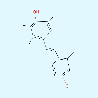 Cc1cc(O)ccc1C=Cc1cc(C)c(O)c(C)c1C